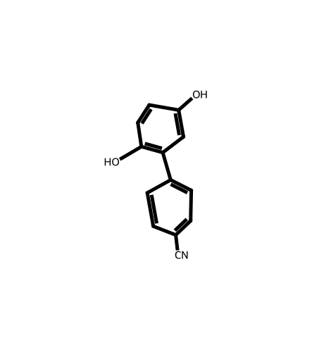 N#Cc1ccc(-c2cc(O)ccc2O)cc1